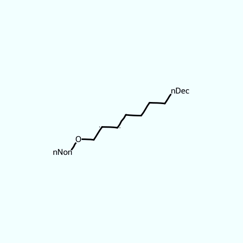 CCCCCCCCCCCCCC[CH][CH]COCCCCCCCCC